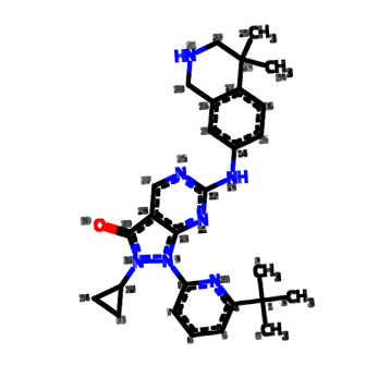 CC(C)(C)c1cccc(-n2c3nc(Nc4ccc5c(c4)CNCC5(C)C)ncc3c(=O)n2C2CC2)n1